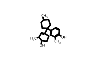 Cc1cc(C2(C3=CC(C)C(O)CC3)CCC(C)CC2)ccc1O